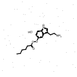 CCCCCC(=O)OOc1ccc2[nH]cc(CCN)c2c1.Cl